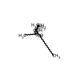 CCCCCCCCCCCCCCCCCCCCC(=O)OC[C@H](COP(=O)(O)OCC[N+](C)(C)C)OC(=O)CCCCCCCCC